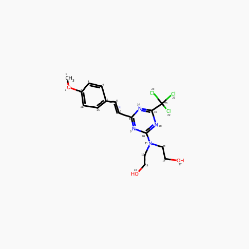 COc1ccc(/C=C/c2nc(N(CCO)CCO)nc(C(Cl)(Cl)Cl)n2)cc1